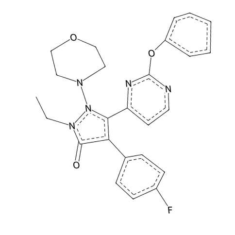 CCn1c(=O)c(-c2ccc(F)cc2)c(-c2ccnc(Oc3ccccc3)n2)n1N1CCOCC1